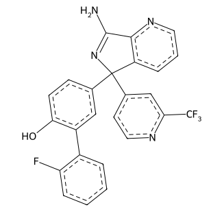 NC1=NC(c2ccnc(C(F)(F)F)c2)(c2ccc(O)c(-c3ccccc3F)c2)c2cccnc21